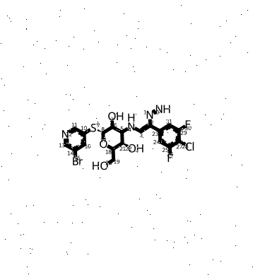 N=N/C(=C\NC1C(O)[C@@H](Sc2cncc(Br)c2)OC(CO)[C@@H]1O)c1cc(F)c(Cl)c(F)c1